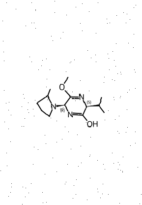 COC1=N[C@@H](C(C)C)C(O)=N[C@H]1N1CCCC1C